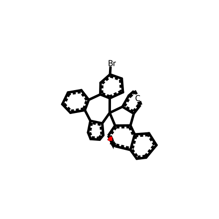 Brc1ccc2c(c1)-c1ccccc1-c1ccccc1C21c2ccccc2-c2c1c1ccccc1c1ccccc21